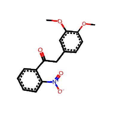 COc1ccc(CC(=O)c2ccccc2[N+](=O)[O-])cc1OC